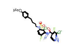 COc1ccc(CCCCN(c2ccc(F)c(NC(=O)c3ccnc(Cl)c3F)c2Cl)[SH](=O)=O)cc1